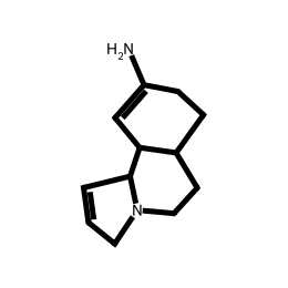 NC1=CC2C(CC1)CCN1CC=CC21